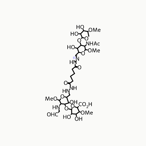 COC1COC(OC2C(O)C(/C=N/NC(=O)CCCCC(=O)NNCC3OC(OC)C(NCC=O)C(OC4OC(C(=O)O)C(OC)C(O)C4O)C3O)OC(OC)C2NC(C)=O)C(O)C1O